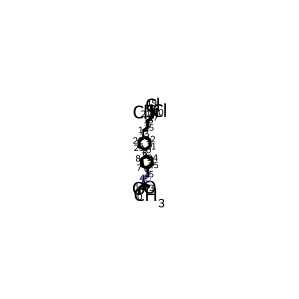 COC(=O)/C=C/c1ccc([C@H]2CC[C@H](CCCC[Si](Cl)(Cl)Cl)CC2)cc1